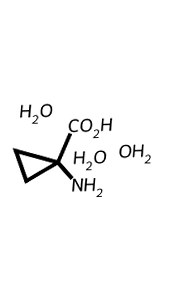 NC1(C(=O)O)CC1.O.O.O